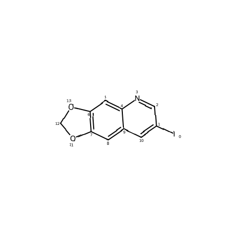 Ic1cnc2cc3c(cc2c1)OCO3